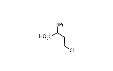 CCCC(CCCl)C(=O)O